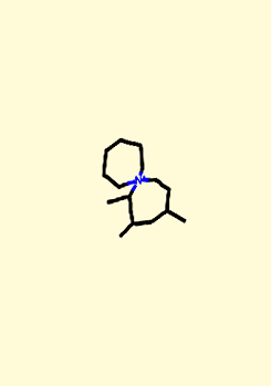 CC1CC[N+]2(CCCCCC2)C(C)C(C)C1